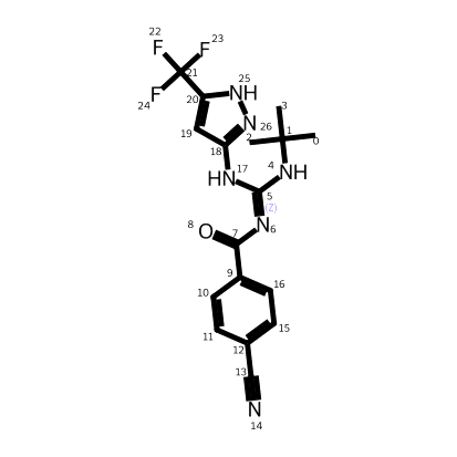 CC(C)(C)N/C(=N/C(=O)c1ccc(C#N)cc1)Nc1cc(C(F)(F)F)[nH]n1